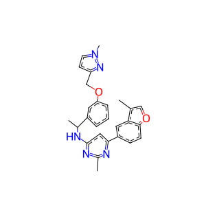 Cc1nc(NC(C)c2cccc(OCc3ccn(C)n3)c2)cc(-c2ccc3occ(C)c3c2)n1